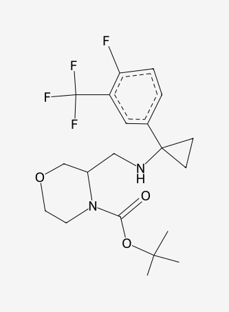 CC(C)(C)OC(=O)N1CCOCC1CNC1(c2ccc(F)c(C(F)(F)F)c2)CC1